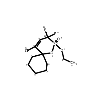 CCOP1(=O)OC2(CCCCC2)C(Cl)=CC1(F)F